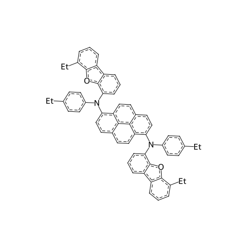 CCc1ccc(N(c2ccc3ccc4c(N(c5ccc(CC)cc5)c5cccc6c5oc5c(CC)cccc56)ccc5ccc2c3c54)c2cccc3c2oc2c(CC)cccc23)cc1